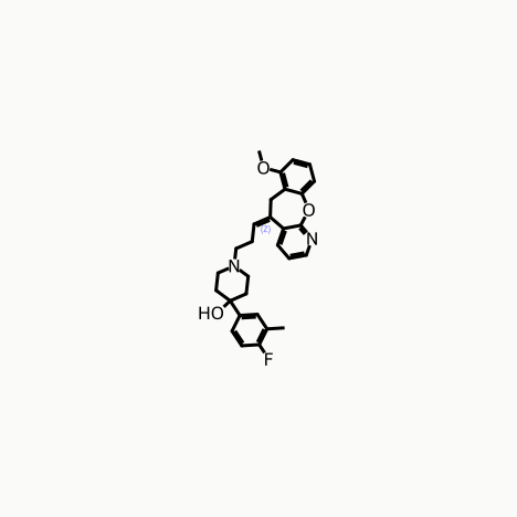 COc1cccc2c1C/C(=C/CCN1CCC(O)(c3ccc(F)c(C)c3)CC1)c1cccnc1O2